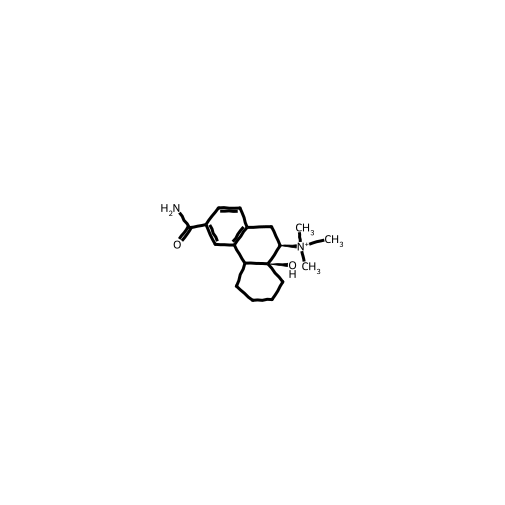 C[N+](C)(C)[C@@H]1Cc2ccc(C(N)=O)cc2C2CCCC[C@]21O